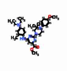 CCN(CC)c1ccc(Nc2cc(C(=O)OC)nc(N3CCN(c4ccc(OC)cc4)C(C)(C)C3)n2)c(C)c1